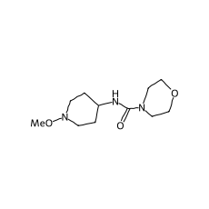 CON1CCC(NC(=O)N2CCOCC2)CC1